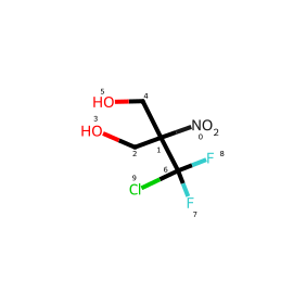 O=[N+]([O-])C(CO)(CO)C(F)(F)Cl